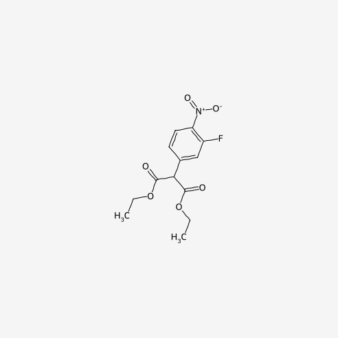 CCOC(=O)C(C(=O)OCC)c1ccc([N+](=O)[O-])c(F)c1